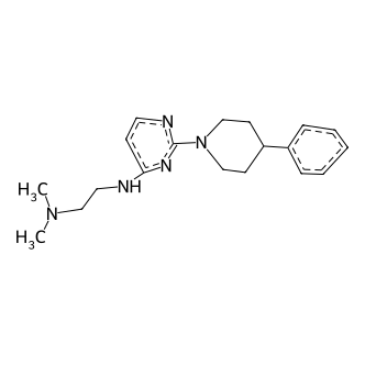 CN(C)CCNc1ccnc(N2CCC(c3ccccc3)CC2)n1